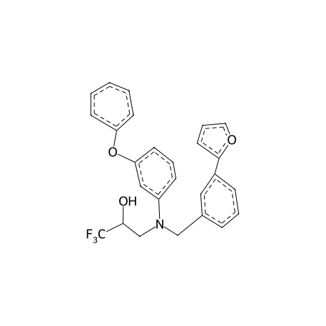 OC(CN(Cc1cccc(-c2ccco2)c1)c1cccc(Oc2ccccc2)c1)C(F)(F)F